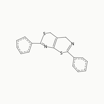 c1ccc(C2=NC3=C(CN=C(c4ccccc4)S3)CS2)cc1